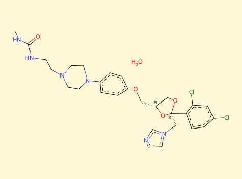 CNC(=O)NCCN1CCN(c2ccc(OC[C@@H]3CO[C@@](Cn4ccnc4)(c4ccc(Cl)cc4Cl)O3)cc2)CC1.O